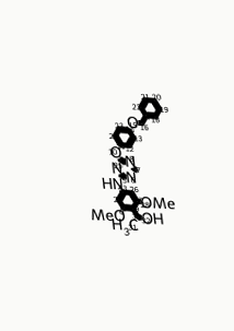 COc1cc(Nc2ncnc(Oc3ccc(OCc4ccccc4)cc3)n2)cc(OC)c1C(C)O